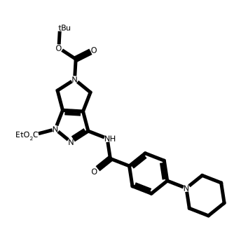 CCOC(=O)n1nc(NC(=O)c2ccc(N3CCCCC3)cc2)c2c1CN(C(=O)OC(C)(C)C)C2